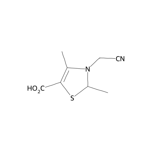 CC1=C(C(=O)O)SC(C)N1CC#N